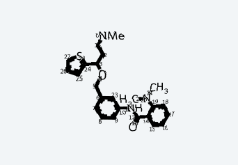 CNCCC(OCc1cccc(NC(=O)c2ccccc2N(C)C)c1)c1cccs1